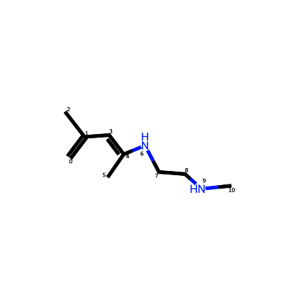 C=C(C)/C=C(\C)NCCNC